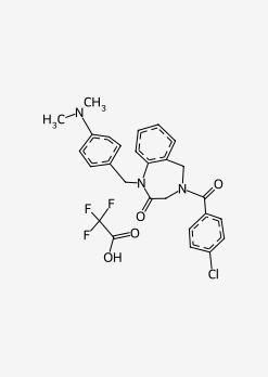 CN(C)c1ccc(CN2C(=O)CN(C(=O)c3ccc(Cl)cc3)Cc3ccccc32)cc1.O=C(O)C(F)(F)F